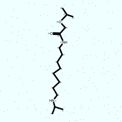 CC(C)NCCCCCCCCNC(=O)COC(C)C